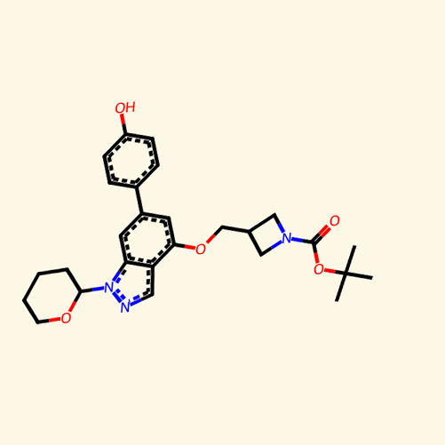 CC(C)(C)OC(=O)N1CC(COc2cc(-c3ccc(O)cc3)cc3c2cnn3C2CCCCO2)C1